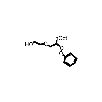 CCCCCCCCC(COCCO)OOc1ccccc1